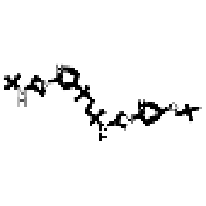 CC(C)(C)COc1ccc(N2CC(NC(C)(C)CCC(C)(C)c3ccnc(N4CC(NC(C)(C)C)C4)c3)C2)nc1